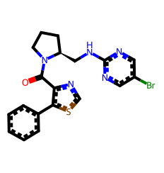 O=C(c1ncsc1-c1ccccc1)N1CCC[C@H]1CNc1ncc(Br)cn1